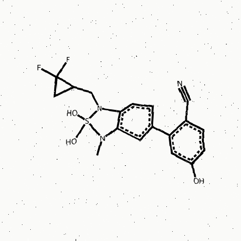 CN1c2cc(-c3cc(O)ccc3C#N)ccc2N(CC2CC2(F)F)S1(O)O